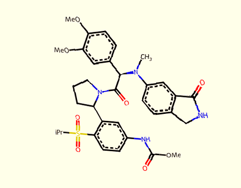 COC(=O)Nc1ccc(S(=O)(=O)C(C)C)c(C2CCCN2C(=O)[C@@H](c2ccc(OC)c(OC)c2)N(C)c2ccc3c(c2)C(=O)NC3)c1